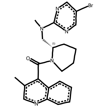 Cc1cnc2ccccc2c1C(=O)N1CCCC[C@H]1CN(C)c1ncc(Br)cn1